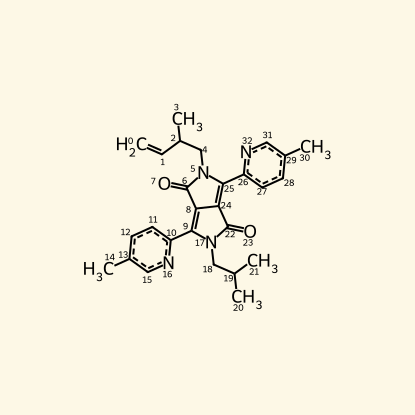 C=CC(C)CN1C(=O)C2=C(c3ccc(C)cn3)N(CC(C)C)C(=O)C2=C1c1ccc(C)cn1